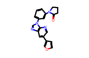 O=C1CCCN1c1cccc(-n2cnc3cc(-c4ccoc4)cnc32)c1